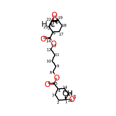 CC12CCC(C(=O)OCCCCCOC(=O)C3CCC4(C)O[C@H]4C3)CC1O2